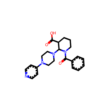 O=C(O)C1CCCN(C(=O)c2ccccc2)C1N1CCN(c2ccncc2)CC1